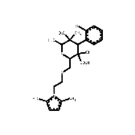 CCC1(C(=O)O)C(COCCn2c(C)ccc2C)NC(C)C(C)(C(=O)O)C1c1ccccc1Cl